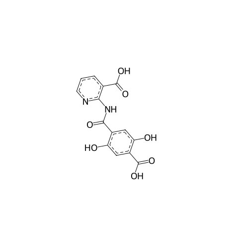 O=C(O)c1cc(O)c(C(=O)Nc2ncccc2C(=O)O)cc1O